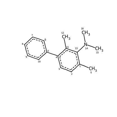 Cc1ccc(-c2[c]cccc2)c(C)c1N(C)C